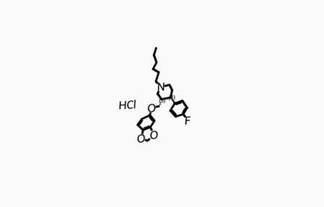 CCCCCCN1CC[C@@H](c2ccc(F)cc2)[C@H](COc2ccc3c(c2)OCO3)C1.Cl